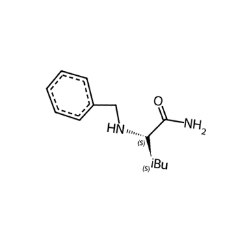 CC[C@H](C)[C@H](NCc1ccccc1)C(N)=O